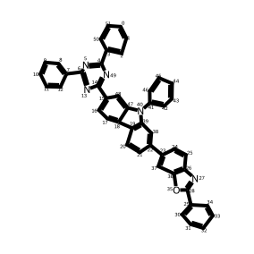 c1ccc(-c2nc(-c3ccccc3)nc(-c3ccc4c5ccc(-c6ccc7nc(-c8ccccc8)oc7c6)cc5n(-c5ccccc5)c4c3)n2)cc1